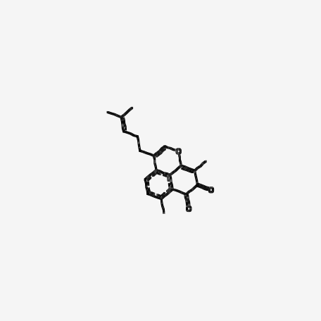 CC(C)=CCCC1=COC2=C(C)C(=O)C(=O)c3c(C)ccc1c32